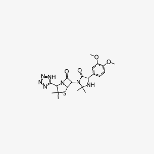 COc1ccc(C2NC(C)(C)N(C3C(=O)N4C3SC(C)(C)C4c3nnn[nH]3)C2=O)cc1OC